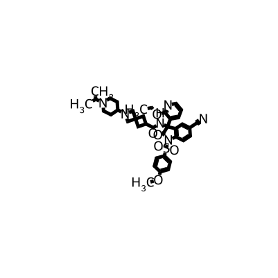 CCOc1ncccc1C1(NC(=O)C2CC3(C2)CN(C2CCN(C(C)C)CC2)C3)C(=O)N(S(=O)(=O)c2ccc(OC)cc2)c2ccc(C#N)cc21